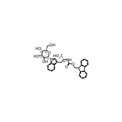 O=C(N[C@H](Cc1cn([C@H]2O[C@H](CO)[C@@H](O)[C@H](O)[C@@H]2O)c2ccccc12)C(=O)O)OCC1c2ccccc2-c2ccccc21